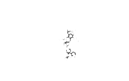 Cc1cc2c(c3cn[nH]c13)CN(CC(F)(F)F)C(=O)[C@@H](CC(=O)N1CCC3(CC1)OC(=O)Nc1ncccc13)C2